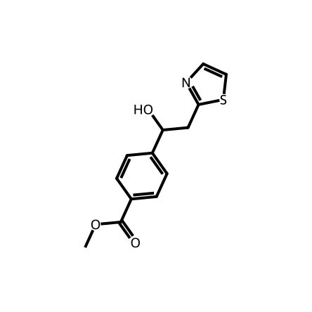 COC(=O)c1ccc(C(O)Cc2nccs2)cc1